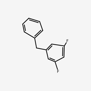 Fc1cc(F)cc(Cc2ccccc2)c1